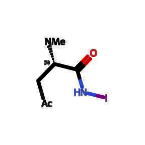 CN[C@@H](CC(C)=O)C(=O)NI